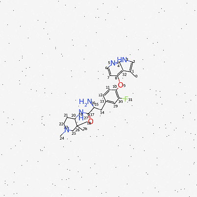 Cc1c[nH]c2nccc(Oc3ccc(C[C@H](N)C(=O)NC4CCN(C)CC4(C)C)cc3F)c12